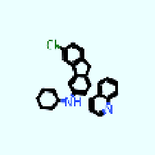 Clc1ccc2c(c1)-c1cc(NC3CCCCC3)ccc1C2.c1ccc2ncccc2c1